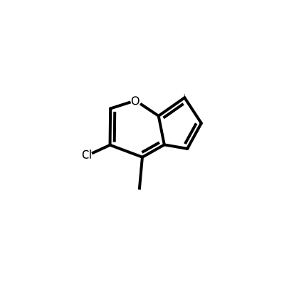 Cc1c(Cl)coc2[c]ccc1-2